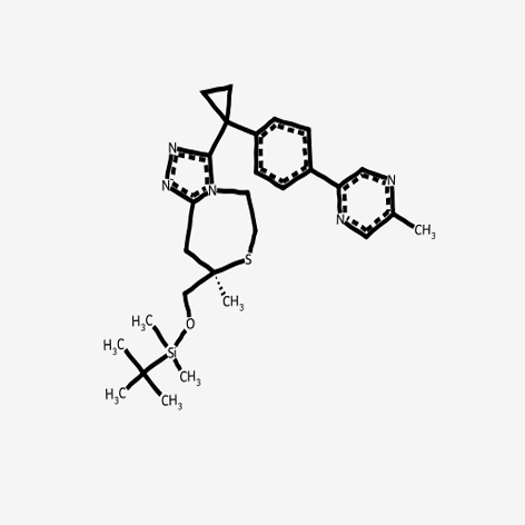 Cc1cnc(-c2ccc(C3(c4nnc5n4CCS[C@@](C)(CO[Si](C)(C)C(C)(C)C)C5)CC3)cc2)cn1